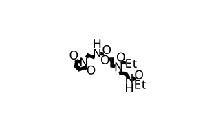 CCC(=O)NCCN(CCOC(=O)NCCN1C(=O)C=CC1=O)C(=O)CC